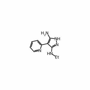 CCNc1n[nH]c(N)c1-c1ccccn1